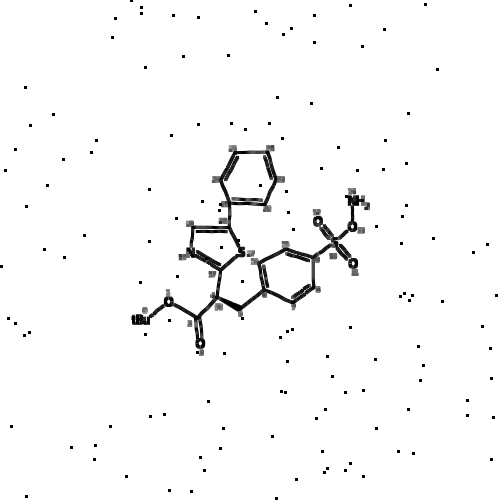 CC(C)(C)OC(=O)[C@H](Cc1ccc(S(=O)(=O)ON)cc1)c1ncc(-c2ccccc2)s1